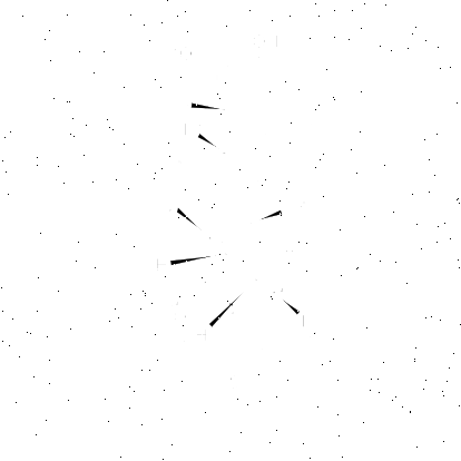 CSC[C@H]1[C@H]2CC[C@@]3(CC[C@H]4[C@@](C)(CCC[C@@]4(C)C(=O)O)[C@@H]3C2)[C@H]1O